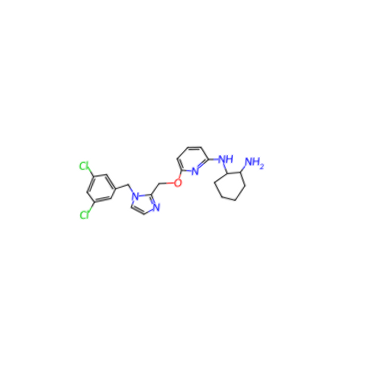 NC1CCCCC1Nc1cccc(OCc2nccn2Cc2cc(Cl)cc(Cl)c2)n1